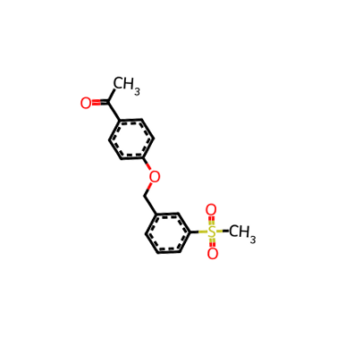 CC(=O)c1ccc(OCc2cccc(S(C)(=O)=O)c2)cc1